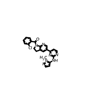 Cn1nccc1Nc1nccc(-c2cnc3c(c2)CCN3C(=O)c2ccccc2Cl)n1